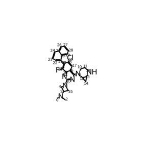 CN(C)C1CN(c2nc(N3CCNC4CC43)c3cc(Cl)c(-c4cccc5ccccc45)c(F)c3n2)C1